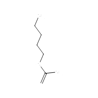 C=C(N)NCCCCN